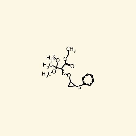 CCOC(=O)C(=NOC1CC1Sc1ccccc1)C(C)(OC)OC